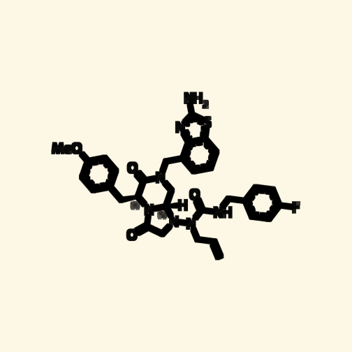 C=CCN(C(=O)NCc1ccc(F)cc1)N1CC(=O)N2[C@@H](Cc3ccc(OC)cc3)C(=O)N(Cc3cccc4sc(N)nc34)C[C@@H]21